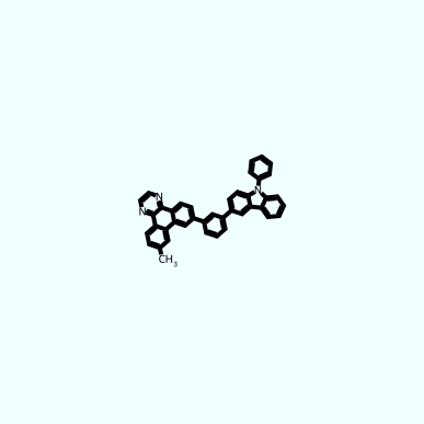 Cc1ccc2c(c1)c1cc(-c3cccc(-c4ccc5c(c4)c4ccccc4n5-c4ccccc4)c3)ccc1c1nccnc21